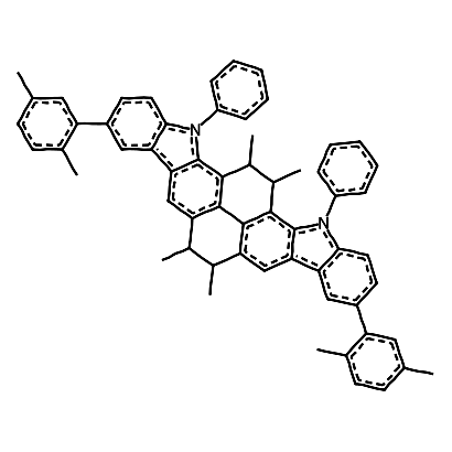 Cc1ccc(C)c(-c2ccc3c(c2)c2cc4c5c(c2n3-c2ccccc2)C(C)C(C)c2c-5c(cc3c5cc(-c6cc(C)ccc6C)ccc5n(-c5ccccc5)c23)C(C)C4C)c1